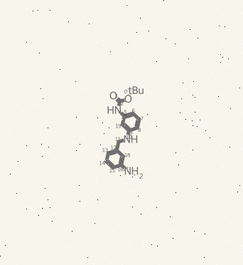 CC(C)(C)OC(=O)Nc1cccc(NCc2cccc(N)c2)c1